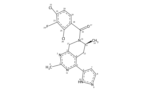 Cc1nc2c(c(-c3ccn[nH]3)n1)C[C@H](C)N(C(=O)c1ccc(Cl)c(F)c1Cl)C2